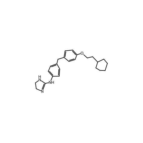 c1cc(NC2=NCCN2)ccc1Cc1ccc(OCCC2CCCCC2)cc1